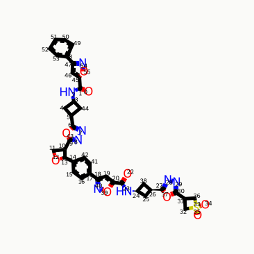 O=C(NC1CC(c2nnc(C3COC3c3ccc(-c4cc(C(=O)N[C@H]5C[C@H](c6nnc(C7CS(=O)(=O)C7)o6)C5)on4)cc3)o2)C1)c1cc(-c2ccccc2)no1